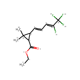 CCOC(=O)C1C(C=CC=C(F)C(F)(F)F)C1(C)C